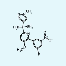 BC(B)(c1cnn(C)c1)c1ccc(OC)c(-c2cc(F)cc([N+](=O)[O-])c2)n1